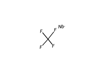 FC(F)(F)F.[Nb]